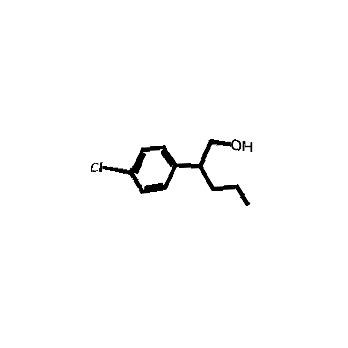 CCCC(CO)c1ccc(Cl)cc1